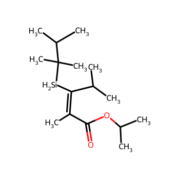 CC(C(=O)OC(C)C)=C([SiH2]C(C)(C)C(C)C)C(C)C